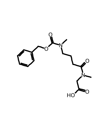 CN(CC(=O)O)C(=O)CCCN(C)C(=O)OCc1ccccc1